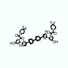 O=C(C(=O)N1C[C@H](O)C[C@H]1c1nc(-c2ccc(-c3ccc(-c4c[nH]c([C@@H]5C[C@@H](O)CN5C(=O)C(=O)N5CCC(F)(F)CC5)n4)cc3)cc2)c[nH]1)N1CCC(F)(F)CC1